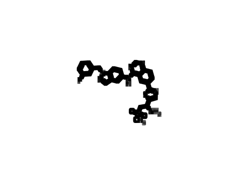 CS(=O)(=O)CC(N)c1cnc(-c2ccc3ncnc(Nc4ccc5c(cnn5Cc5cccc(F)c5)c4)c3c2)s1